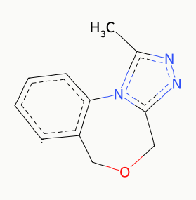 Cc1nnc2n1-c1ccc[c]c1COC2